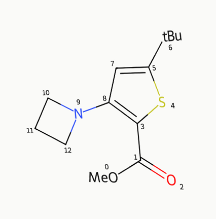 COC(=O)c1sc(C(C)(C)C)cc1N1CCC1